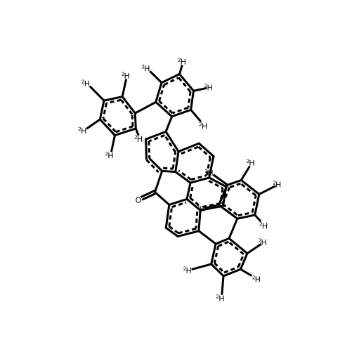 [2H]c1c([2H])c([2H])c(-c2c([2H])c([2H])c([2H])c([2H])c2-c2ccc3c4c2ccc2ccc5c(-c6c([2H])c([2H])c([2H])c([2H])c6-c6c([2H])c([2H])c([2H])c([2H])c6[2H])ccc(c5c24)C3=O)c([2H])c1[2H]